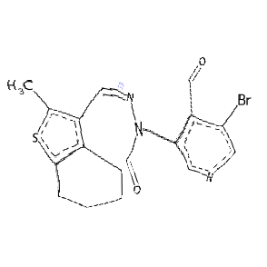 Cc1sc2c(c1/C=N\N(C=O)c1cncc(Br)c1C=O)CCCC2